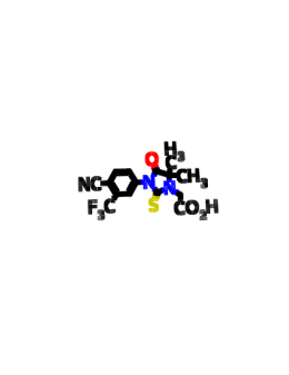 CC1(C)C(=O)N(c2ccc(C#N)c(C(F)(F)F)c2)C(=S)N1CC(=O)O